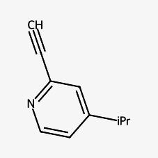 C#Cc1cc(C(C)C)ccn1